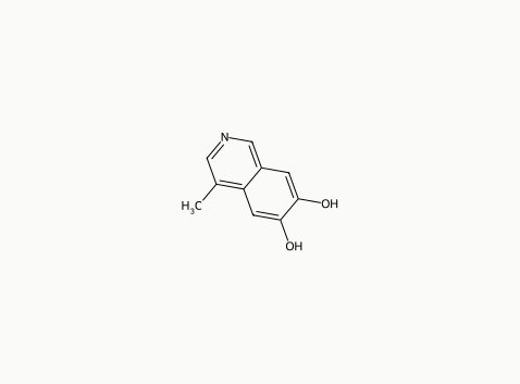 Cc1cncc2cc(O)c(O)cc12